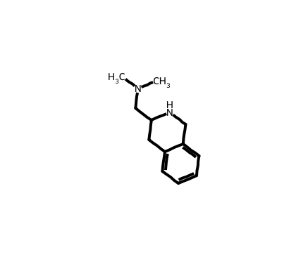 CN(C)CC1Cc2ccccc2CN1